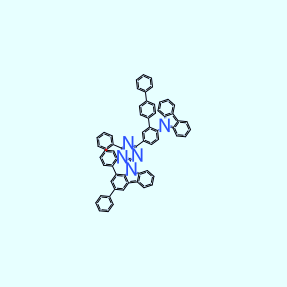 c1ccc(-c2ccc(-c3cc(-c4nc(-c5ccccc5)nc(-n5c6ccccc6c6cc(-c7ccccc7)cc(-c7ccccc7)c65)n4)ccc3-n3c4ccccc4c4ccccc43)cc2)cc1